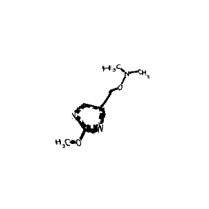 COc1ncc(CON(C)C)cn1